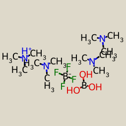 CN(C)C.CN(C)C.CN(C)C.C[NH+](C)C.F[B-](F)(F)F.OB(O)O